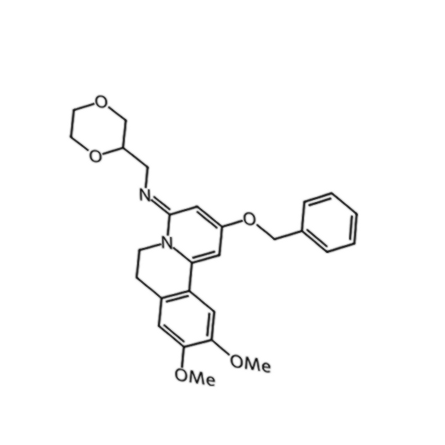 COc1cc2c(cc1OC)-c1cc(OCc3ccccc3)c/c(=N\CC3COCCO3)n1CC2